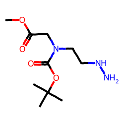 COC(=O)CN(CCNN)C(=O)OC(C)(C)C